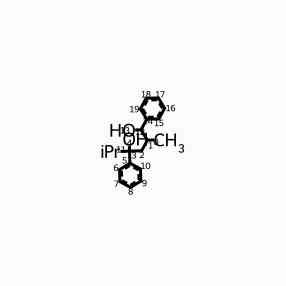 CC(CC(O)(c1ccccc1)C(C)C)C(O)c1ccccc1